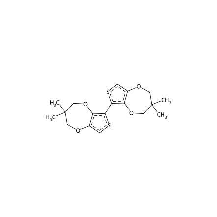 CC1(C)COc2csc(-c3scc4c3OCC(C)(C)CO4)c2OC1